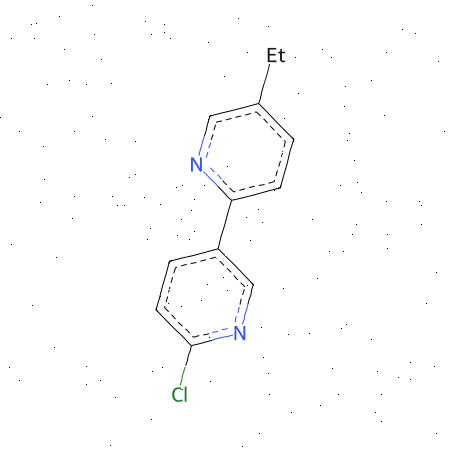 CCc1ccc(-c2ccc(Cl)nc2)nc1